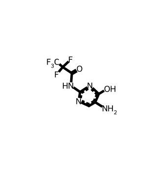 Nc1cnc(NC(=O)C(F)(F)C(F)(F)F)nc1O